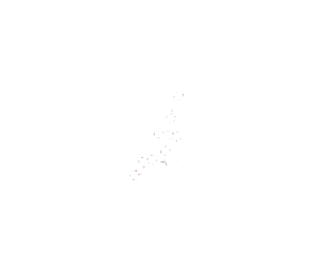 CC1(C)c2ccc(-c3c4ccccc4c(-c4ccc5cc(-c6ccccc6)ccc5c4)c4ccccc34)cc2-c2cc3ccc4c5ccccc5oc4c3cc21